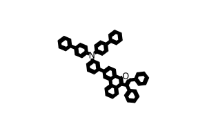 c1ccc(-c2ccc(N(c3ccc(-c4ccccc4)cc3)c3cccc(-c4ccc5c(c4)c4ccccc4c4c(-c6ccccc6)c(-c6ccccc6)oc54)c3)cc2)cc1